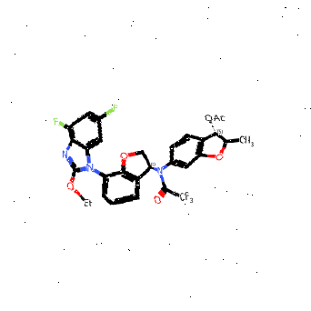 CCOc1nc2c(F)cc(F)cc2n1-c1cccc2c1OC[C@H]2N(C(=O)C(F)(F)F)c1ccc2c(c1)OC(C)[C@H]2OC(C)=O